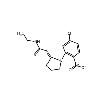 CCNC(=S)N=C1SCCN1c1cc(Cl)ccc1[N+](=O)[O-]